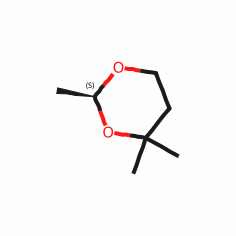 C[C@H]1OCCC(C)(C)O1